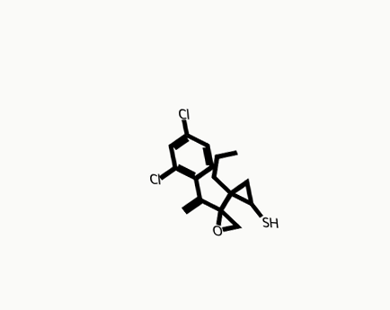 C=C(c1ccc(Cl)cc1Cl)C1(C2(CCC)CC2S)CO1